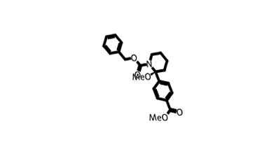 COC(=O)c1ccc([C@@]2(OC)CCCCN2C(=O)OCc2ccccc2)cc1